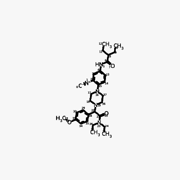 [C-]#[N+]c1cc(NC(=O)C(CC)CC)ccc1N1CCN(C(C(=O)N(CC)CC)c2ccc(OC)cc2)CC1